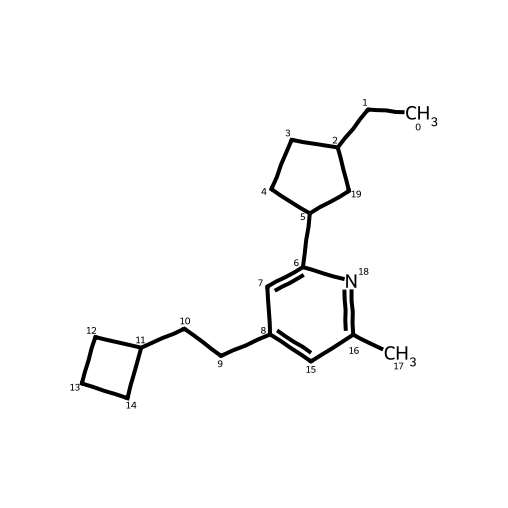 CCC1CCC(c2cc(CCC3CCC3)cc(C)n2)C1